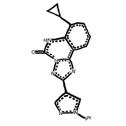 CC(C)n1cc(-c2nc3c4cccc(C5CC5)c4[nH]c(=O)n3n2)cn1